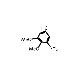 COc1cccc(N)c1OC.Cl